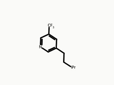 CC(C)CCc1cncc(C(F)(F)F)c1